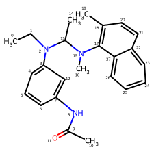 CCN(c1cccc(NC(C)=O)c1)C(C)N(C)c1c(C)ccc2ccccc12